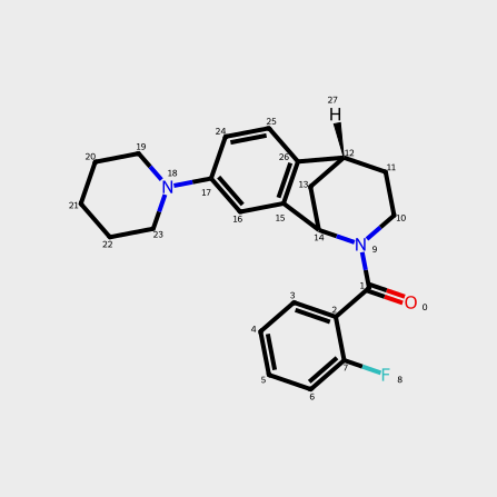 O=C(c1ccccc1F)N1CC[C@@H]2CC1c1cc(N3CCCCC3)ccc12